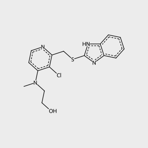 CN(CCO)c1ccnc(CSc2nc3ccccc3[nH]2)c1Cl